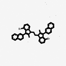 CC1=C(c2ccc3ccccc3c2)c2c(Br)cccc2C1CCC1C(C)=C(c2ccc3ccccc3c2)c2c(Br)cccc21